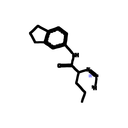 [1H]/P=N\C(CCC)C(=O)Nc1ccc2c(c1)CCC2